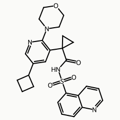 O=C(NS(=O)(=O)c1cccc2ncccc12)C1(c2cc(C3CCC3)cnc2N2CCOCC2)CC1